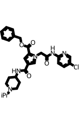 CC(C)N1CCC(NC(=O)c2cc(C(=O)OCc3ccccc3)n(CC(=O)Nc3ccc(Cl)cn3)c2)CC1